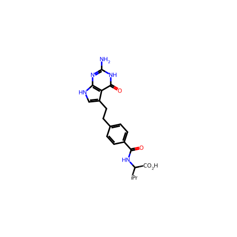 CC(C)C(NC(=O)c1ccc(CCc2c[nH]c3nc(N)[nH]c(=O)c23)cc1)C(=O)O